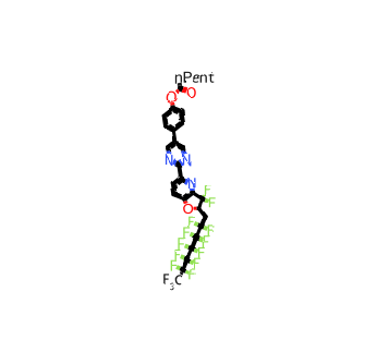 CCCCCC(=O)Oc1ccc(-c2cnc(-c3ccc4c(n3)C(F)(F)C(CC(F)(F)C(F)(F)C(F)(F)C(F)(F)C(F)(F)C(F)(F)F)O4)nc2)cc1